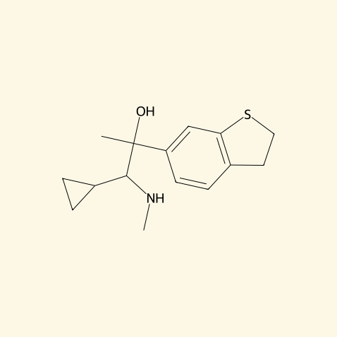 CNC(C1CC1)C(C)(O)c1ccc2c(c1)SCC2